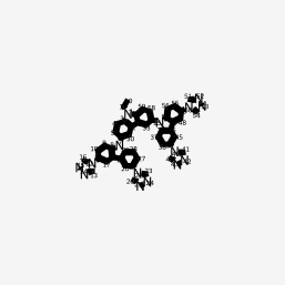 CCn1c2ccc(-n3c4ccc(-n5cnnc5)cc4c4cc(-n5cnnc5)ccc43)cc2c2cc(-n3c4ccc(-n5cnnc5)cc4c4cc(-n5cnnc5)ccc43)ccc21